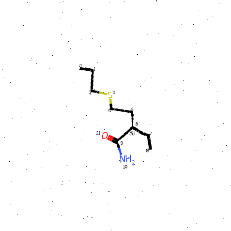 CCCSCC[C@@H](CC)C(N)=O